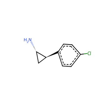 N[C@H]1C[C@@H]1c1ccc(Cl)cc1